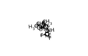 COc1ccc(Nc2cc(F)cc(F)c2)nc1C(=O)NC(C)(C)C